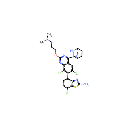 CN(C)CCCOc1nc(N2CC3CCC2CN3)c2cc(Cl)c(-c3ccc(F)c4sc(N)nc34)c(F)c2n1